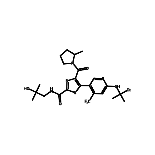 CCC(C)(C)Nc1cc(C(F)(F)F)c(-c2sc(C(=O)NCC(C)(C)O)nc2C(=O)N2CCCC2C)cn1